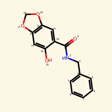 O=C(NCc1ccccc1)c1cc2c(cc1O)OCO2